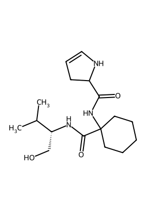 CC(C)[C@@H](CO)NC(=O)C1(NC(=O)C2CC=CN2)CCCCC1